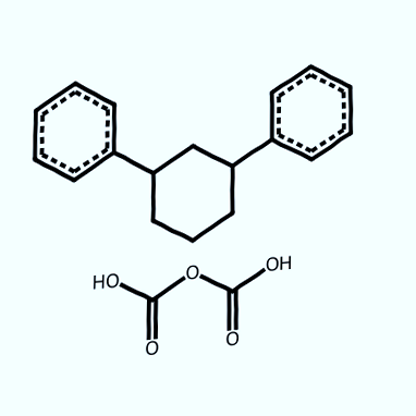 O=C(O)OC(=O)O.c1ccc(C2CCCC(c3ccccc3)C2)cc1